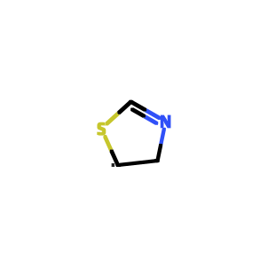 [CH]1CN=CS1